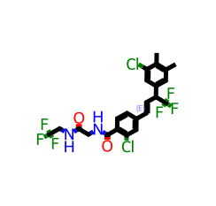 Cc1cc(C(/C=C/c2ccc(C(=O)NCC(=O)NCC(F)(F)F)c(Cl)c2)C(F)(F)F)cc(Cl)c1C